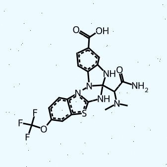 CN(C)C(C(N)=O)C1(Nc2nc3ccc(OC(F)(F)F)cc3s2)Nc2cc(C(=O)O)ccc2N1C